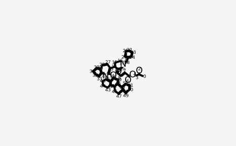 CC(=O)COC(=O)/C=C/C(=O)OC1=C(C2CCN(Cc3ccccc3)CC2)C=Cc2ccccc2N1C1=c2ccc3c(c2CCC1)CC=c1ccccc1=3